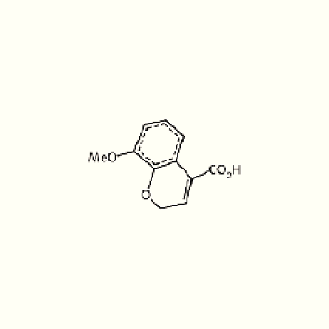 COc1cccc2c1OCC=C2C(=O)O